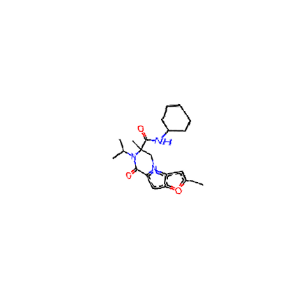 Cc1cc2c(cc3n2CC(C)(C(=O)NC2CCCCC2)N(C(C)C)C3=O)o1